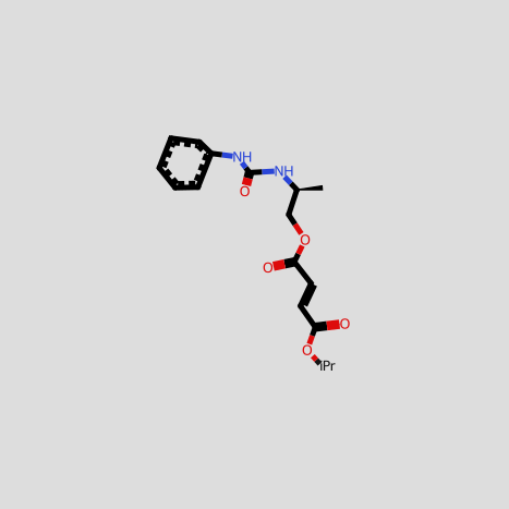 CC(C)OC(=O)/C=C/C(=O)OC[C@H](C)NC(=O)Nc1ccccc1